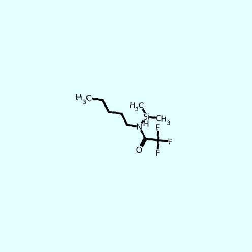 CCCCCN(C(=O)C(F)(F)F)[SiH](C)C